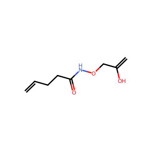 C=CCCC(=O)NOCC(=C)O